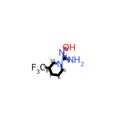 NC(=NO)N1CCCC(C(F)(F)F)C1